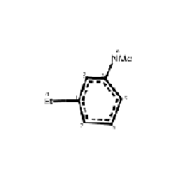 CCc1[c]c(NC)ccc1